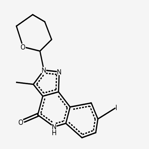 Cc1c2c(=O)[nH]c3ccc(I)cc3c2nn1C1CCCCO1